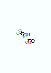 O=c1oc2ccccc2cc1CSc1nc2cc(Cl)c(Cl)cc2[nH]1